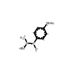 CCCCN(C)[S+]([O-])c1ccc(NC(C)=O)cc1